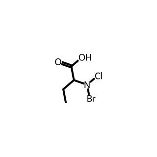 CCC(C(=O)O)N(Cl)Br